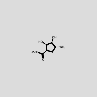 COC(=O)[C@@H]1C[C@@H](N)[C@H](O)[C@@H]1O